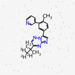 [2H]C([2H])([2H])C(C)(C)c1cnn2c(-c3ccc(C)c(-c4cccnc4)c3)cnc2n1